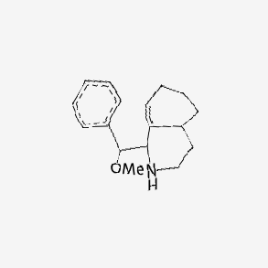 COC(c1ccccc1)C1NCCC2CCCC=C21